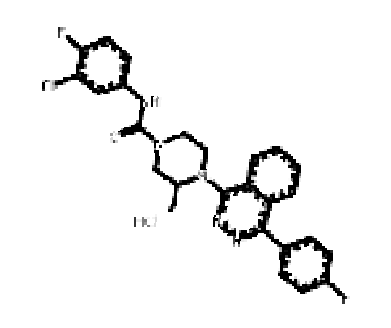 CC1CN(C(=O)Nc2ccc(F)c(Cl)c2)CCN1c1nnc(-c2ccc(F)cc2)c2ccccc12.Cl